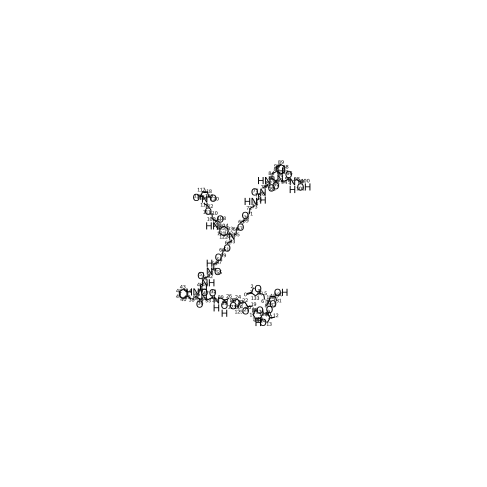 C=C1CO[C@@H](CC[C@]2(CO[C@@H]3C(C)CO[C@H]4CC[C@H](CC(=O)C[C@@H]5C[C@@H](C[C@H](O)CNC(=O)CNC(=O)[C@H](Cc6ccccc6)NC(=O)CNC(=O)CNC(=O)CCOCCOCCN(CCOCCOCCCNCC(=O)NCC(=O)N[C@@H](Cc6ccccc6)C(=O)NCC(=O)NC[C@H](C)O)C6CCC(NC(=O)CCOCCN7C(=O)C=CC7=O)CC6)O[C@H]5C)OC34)CC(O)CO2)C1